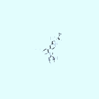 O=C(Nc1cc2cc(-c3cc(C(F)(F)F)ncc3OC3C[C@H]4COC[C@@H](C3)N4)ccn2n1)C1CC1